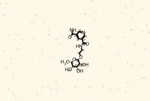 C[C@@H]1O[C@@H](OCCNC(=O)c2cncc(C(N)=O)c2)[C@@H](O)[C@H](O)[C@@H]1O